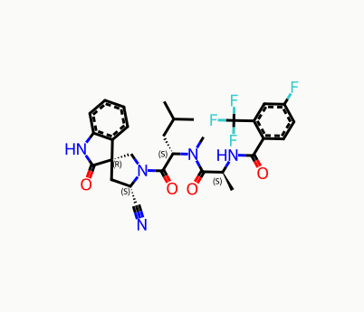 CC(C)C[C@@H](C(=O)N1C[C@]2(C[C@H]1C#N)C(=O)Nc1ccccc12)N(C)C(=O)[C@H](C)NC(=O)c1ccc(F)cc1C(F)(F)F